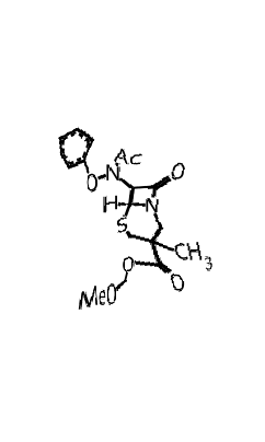 COCOC(=O)C1(C)CS[C@@H]2C(N(Oc3ccccc3)C(C)=O)C(=O)N2C1